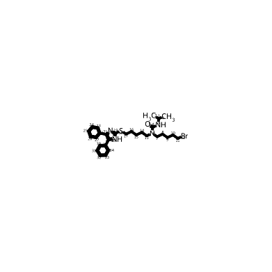 CC(C)NC(=O)N(CCCCCBr)CCCCCSc1nc(-c2ccccc2)c(-c2ccccc2)[nH]1